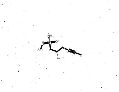 CC#CC[C@H](C)C[S@@](N)(=O)=NC(C)=O